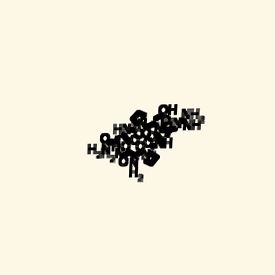 N=C(N)NCCC[C@H](NC(=O)[C@@H]1CCCN1C(=O)[C@@H](N)CC(N)=O)C(=O)N[C@@H](CC(=O)O)C(=O)N1CCC[C@H]1C(=O)N[C@@H](CCC(N)=O)C(=O)O